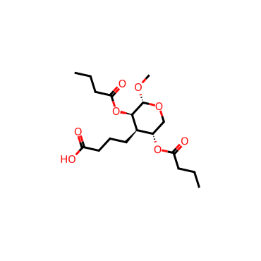 CCCC(=O)O[C@H]1[C@H](OC)OC[C@H](OC(=O)CCC)[C@H]1CCCC(=O)O